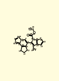 CC(C)c1c(-c2cn3ncnc3c3c2CCC3)n(C(=O)OC(C)(C)C)c2sccc12